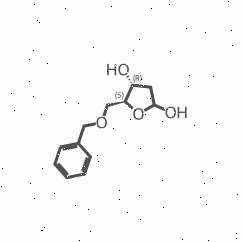 OC1C[C@@H](O)[C@H](COCc2ccccc2)O1